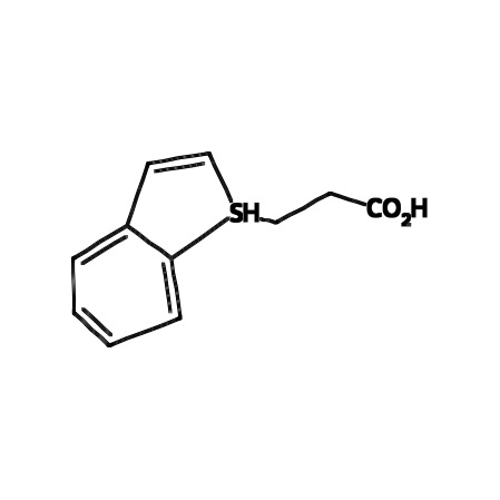 O=C(O)CC[SH]1C=Cc2ccccc21